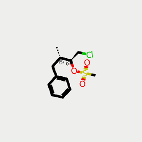 C[C@@H](Cc1ccccc1)[C@@H](CCl)OS(C)(=O)=O